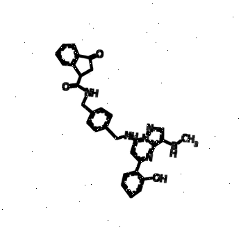 CBc1cnn2c(NCc3ccc(CNC(=O)C4CC(=O)c5ccccc54)cc3)cc(-c3ccccc3O)nc12